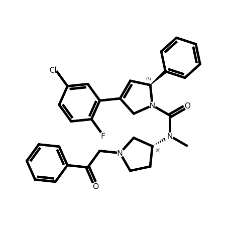 CN(C(=O)N1CC(c2cc(Cl)ccc2F)=C[C@H]1c1ccccc1)[C@@H]1CCN(CC(=O)c2ccccc2)C1